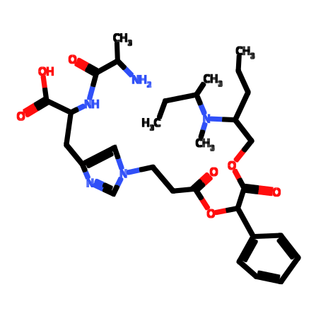 CCCC(COC(=O)C(OC(=O)CCn1cnc(CC(NC(=O)C(C)N)C(=O)O)c1)c1ccccc1)N(C)C(C)CC